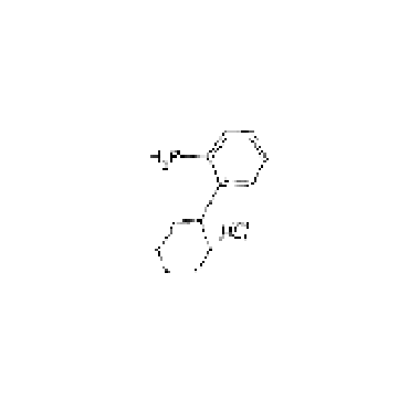 Cl.Pc1ccccc1C1CCCCC1